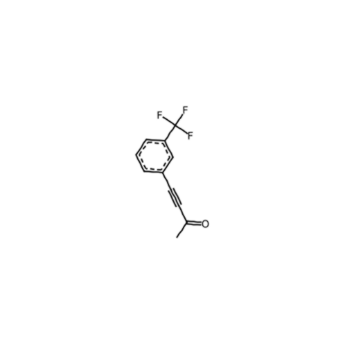 CC(=O)C#Cc1cccc(C(F)(F)F)c1